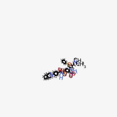 CN(C)CCCC[C@H](C[S+]([O-])c1ccccc1)Nc1ccc(S(=O)(=O)NC(=O)c2ccc(N3CCC4(CCCC4)CC3)cc2)cc1[N+](=O)[O-]